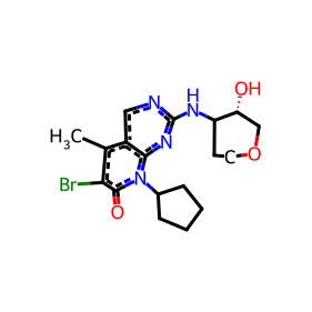 Cc1c(Br)c(=O)n(C2CCCC2)c2nc(NC3CCOC[C@H]3O)ncc12